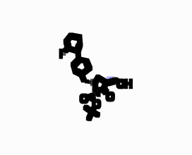 CC(C)(C)OC(=O)N1C(=O)/C(=C\O)C[C@H]1Cc1ccc(-c2ccccc2F)cc1